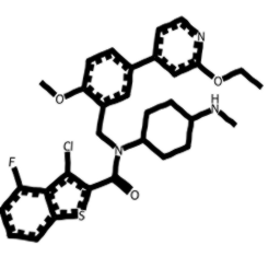 CCOc1cc(-c2ccc(OC)c(CN(C(=O)c3sc4cccc(F)c4c3Cl)C3CCC(NC)CC3)c2)ccn1